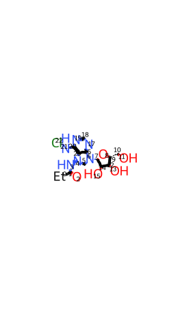 CCC(=O)NN1CN([C@@H]2O[C@H](CO)C(O)C2O)c2ncnc(NCl)c21